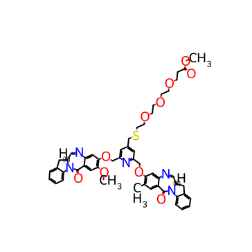 COC(=O)CCOCCOCCOCCSCc1cc(COc2cc3c(cc2C)C(=O)N2c4ccccc4C[C@H]2C=N3)nc(COc2cc3c(cc2OC)C(=O)N2c4ccccc4C[C@H]2C=N3)c1